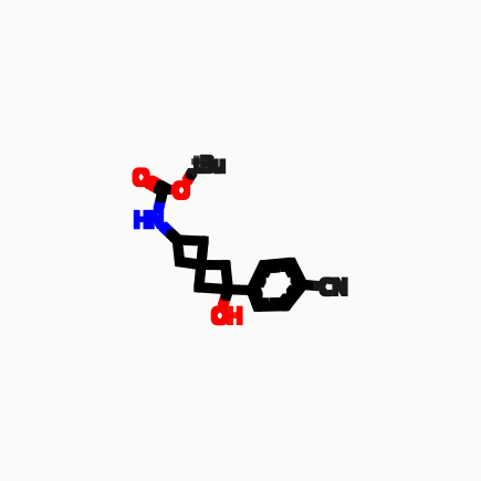 CC(C)(C)OC(=O)NC1CC2(C1)CC(O)(c1ccc(C#N)cc1)C2